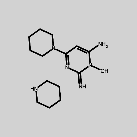 C1CCNCC1.N=c1nc(N2CCCCC2)cc(N)n1O